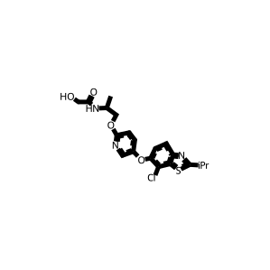 CC(COc1ccc(Oc2ccc3nc(C(C)C)sc3c2Cl)cn1)NC(=O)CO